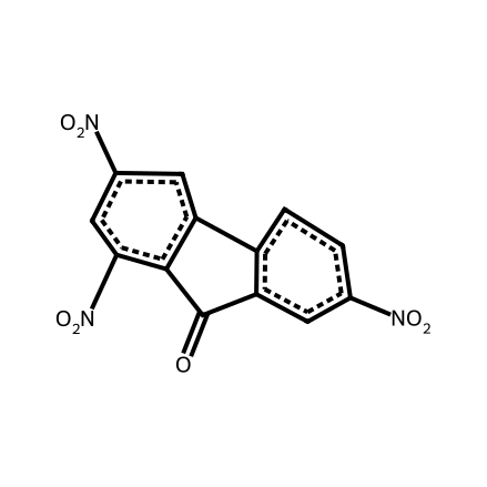 O=C1c2cc([N+](=O)[O-])ccc2-c2cc([N+](=O)[O-])cc([N+](=O)[O-])c21